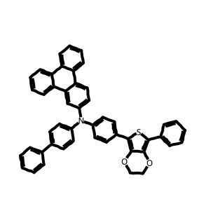 c1ccc(-c2ccc(N(c3ccc(-c4sc(-c5ccccc5)c5c4OCCO5)cc3)c3ccc4c5ccccc5c5ccccc5c4c3)cc2)cc1